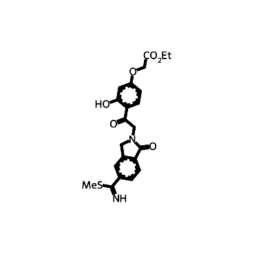 CCOC(=O)COc1ccc(C(=O)CN2Cc3cc(C(=N)SC)ccc3C2=O)c(O)c1